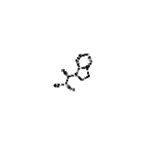 C=C(C)C(=O)N1CCc2cnccc21